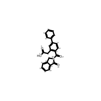 O=C(O)Cc1cc(-c2ccccc2)ccc1C(=O)N1Cc2ccccc2C1=O